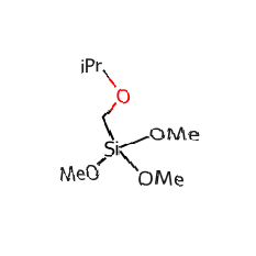 CO[Si](COC(C)C)(OC)OC